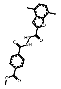 COC(=O)c1ccc(C(=O)NNC(=O)c2cc3c(C)ccc(C)c3o2)cc1